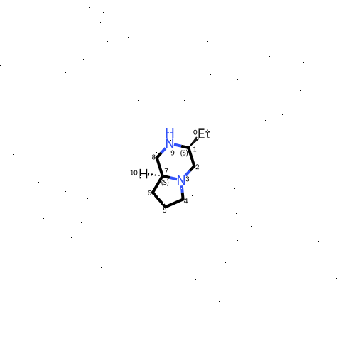 CC[C@H]1CN2CCC[C@H]2CN1